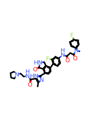 Cc1nc(-c2ccc(-c3ccc(NC(=O)CC(=O)N(C)c4ccc(F)cc4)cc3F)c3c2C(=O)NC3)[nH]c1C(=O)NCCN1CCCC1